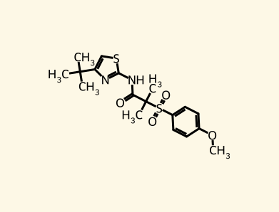 COc1ccc(S(=O)(=O)C(C)(C)C(=O)Nc2nc(C(C)(C)C)cs2)cc1